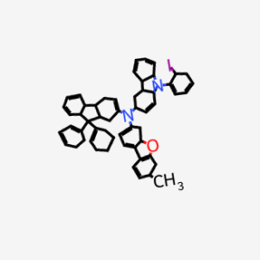 CC1C=CC2=C(C1)OC1CC(N(C3=CCC4C5C=CC=CC5C(C5=CC=CCC5)(C5=CCCCC5)C4C3)C3C=CC4C(C3)C3C=CC=CC3N4C3=CC=CCC3I)=CC=C21